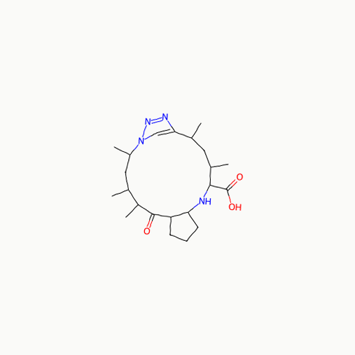 CC1CC(C)C(C(=O)O)NC2CCCC2C(=O)C(C)C(C)CC(C)n2cc1nn2